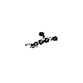 COC(OC)C1CCN(c2ccc(-c3ccc(OCc4ccccc4)nc3OCc3ccccc3)nc2)CC1